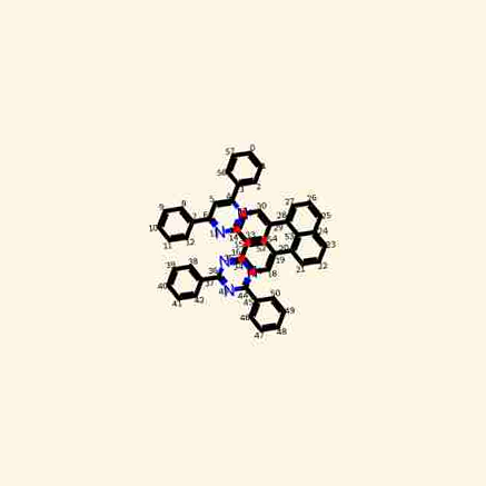 c1ccc(-c2cc(-c3ccccc3)nc(-c3cccc(-c4cccc5cccc(-c6cccc(-c7nc(-c8ccccc8)nc(-c8ccccc8)n7)c6)c45)c3)n2)cc1